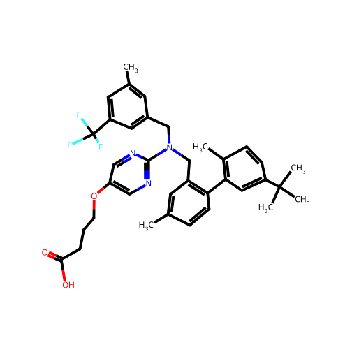 Cc1cc(CN(Cc2cc(C)ccc2-c2cc(C(C)(C)C)ccc2C)c2ncc(OCCCC(=O)O)cn2)cc(C(F)(F)F)c1